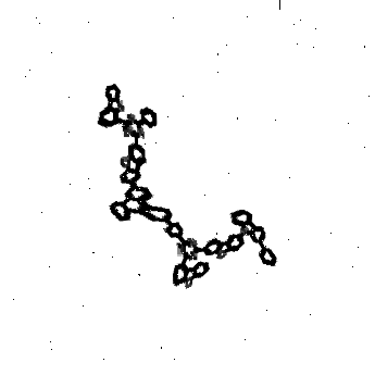 c1ccc(-c2ccc3c4ccccc4n(-c4ccc5oc6cc(-c7nc(-c8ccc(-c9ccc%10c%11ccc(-c%12ccc%13oc%14cc(-c%15nc(-c%16ccccc%16)nc(-c%16cccc%17c%16sc%16ccccc%16%17)n%15)ccc%14c%13c%12)cc%11c%11ccccc%11c%10c9)cc8)nc(-c8cccc9oc%10ccccc%10c89)n7)ccc6c5c4)c3c2)cc1